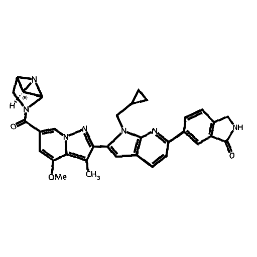 COc1cc(C(=O)N2CC3[C@@H]4C2N34)cn2nc(-c3cc4ccc(-c5ccc6c(c5)C(=O)NC6)nc4n3CC3CC3)c(C)c12